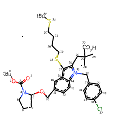 CC(C)(C)OC(=O)N1CCC[C@@H]1OCc1ccc2c(c1)c(SCCCCSC(C)(C)C)c(CC(C)(C)C(=O)O)n2Cc1ccc(Cl)cc1